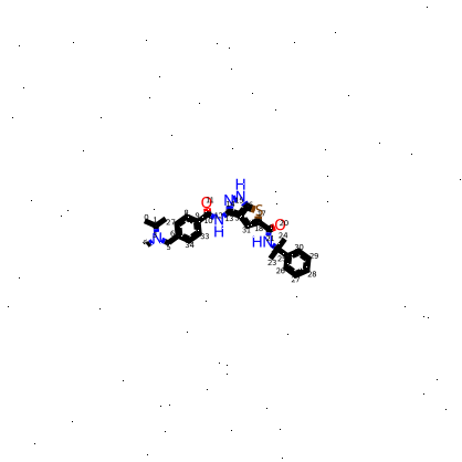 CC(C)N(C)Cc1ccc(C(=O)Nc2n[nH]c3sc(C(=O)NC(C)(C)c4ccccc4)cc23)cc1